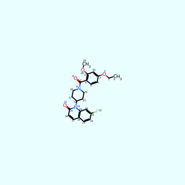 CCOc1ccc(C(=O)N2CCC(n3c(=O)ccc4ccc(F)cc43)CC2)c(OC)c1